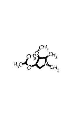 COC1C(OC(C)C)CN(C)C1C